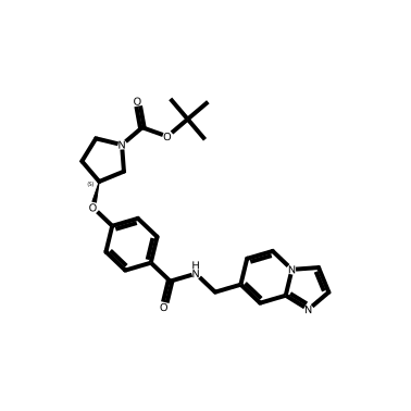 CC(C)(C)OC(=O)N1CC[C@H](Oc2ccc(C(=O)NCc3ccn4ccnc4c3)cc2)C1